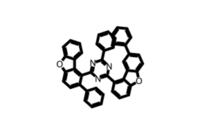 c1ccc(-c2ccc3oc4cccc(-c5nc(-c6ccccc6)nc(-c6c(-c7ccccc7)ccc7oc8ccccc8c67)n5)c4c3c2)cc1